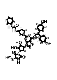 O=C(Nc1cccnc1)NC1CCN(c2nc(NCC(c3ccc(O)cc3)c3ccc(O)cc3)c3ncn([C@@H]4C[C@H](N5C(=O)N[C@H](CO)C5=O)[C@@H](O)[C@H]4O)c3n2)C1